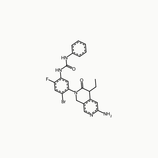 CCC1C(=O)N(c2cc(NC(=O)Nc3ccccc3)c(F)cc2Br)Cc2cnc(N)cc21